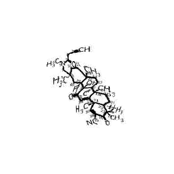 C#CCC(=O)N(C)C[C@@]1(C)CC[C@]2(C)CC[C@@]3(C)[C@]4(C)CC[C@H]5C(C)(C)C(=O)C(C#N)=C[C@]5(C)C4=CC(=O)[C@]3(O)[C@@H]2C1